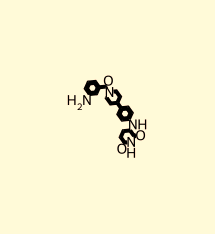 Nc1cccc(C(=O)N2CCC(c3ccc(NC4CCC(=O)NC4=O)cc3)CC2)c1